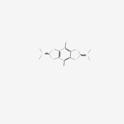 C[N+](C)=c1sc2c(O)c3sc(=[N+](C)C)sc3c(O)c2s1